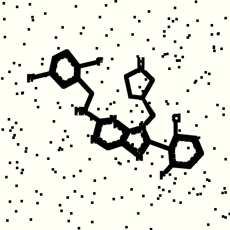 Fc1ccc(F)c(CNc2ncc3nc(-c4c(F)cccc4Cl)n(C[C@H]4CCNC4)c3n2)c1